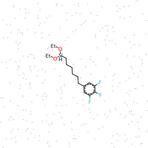 CCO[SiH](CCCCCCc1cc(F)c(F)c(F)c1)OCC